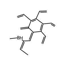 C=Cc1c(C=C)c(C=C)/c(=C/C(BC)=C\C)c(=C)c1C=C